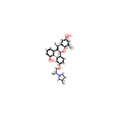 CC1=C(c2cccc(O)c2)C(c2ccc(OCC(C)N3CCC(C)C3)cc2)Oc2c(Cl)cc(O)cc21